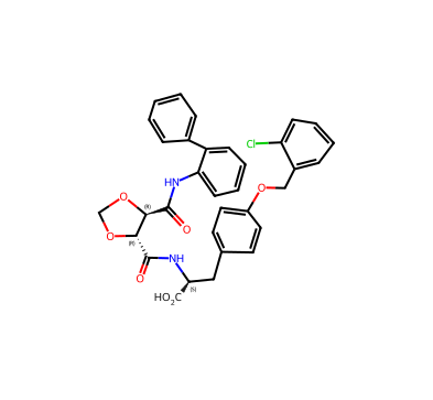 O=C(O)[C@H](Cc1ccc(OCc2ccccc2Cl)cc1)NC(=O)[C@@H]1OCO[C@H]1C(=O)Nc1ccccc1-c1ccccc1